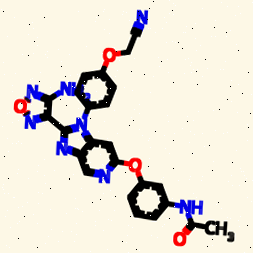 CC(=O)Nc1cccc(Oc2cc3c(cn2)nc(-c2nonc2N)n3-c2ccc(OCC#N)cc2)c1